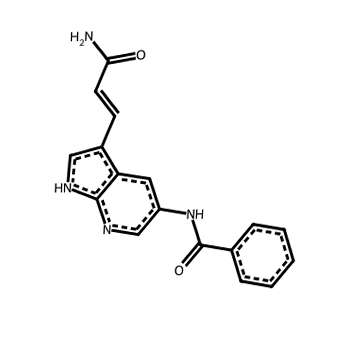 NC(=O)/C=C/c1c[nH]c2ncc(NC(=O)c3ccccc3)cc12